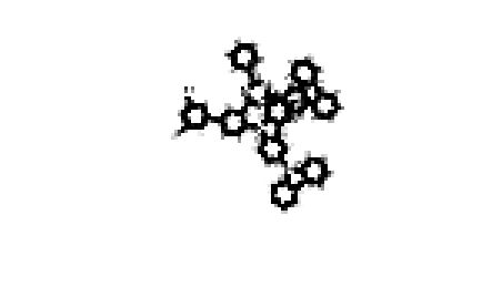 Fc1cc(F)cc(-c2ccc(-n3c4ccc(-n5c6ccccc6c6ccccc65)cc4c4cc(-n5c6ccccc6c6ccccc65)ccc43)c(-c3nc(-c4ccccc4)nc(-c4ccccc4)n3)c2)c1